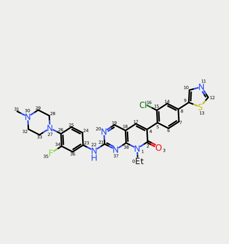 CCn1c(=O)c(-c2ccc(-c3cncs3)cc2Cl)cc2cnc(Nc3ccc(N4CCN(C)CC4)c(F)c3)nc21